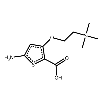 C[Si](C)(C)CCOc1cc(N)sc1C(=O)O